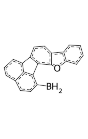 Bc1ccc2cccc3c2c1-c1c-3ccc2c1oc1ccccc12